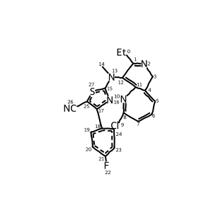 CCC1=NCC2=CC=CC(Cl)=NC2=C1N(C)c1nc(-c2ccc(F)cc2)c(C#N)s1